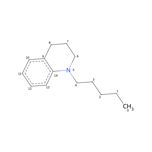 CCCCCN1CCCc2ccccc21